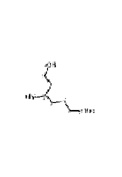 CCCCCCCCCC(CCC)CCO